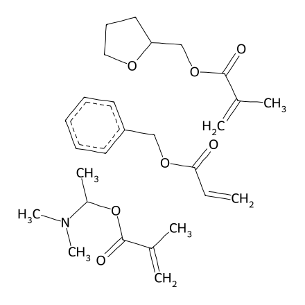 C=C(C)C(=O)OC(C)N(C)C.C=C(C)C(=O)OCC1CCCO1.C=CC(=O)OCc1ccccc1